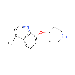 Cc1ccnc2c(OC3CCNCC3)cccc12